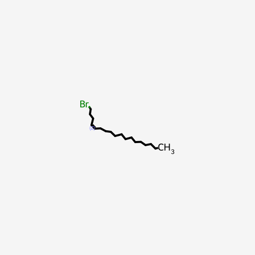 CCCCCCCCCCCCC/C=C\CCCBr